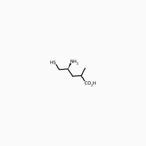 CC(C[C@H](N)CS)C(=O)O